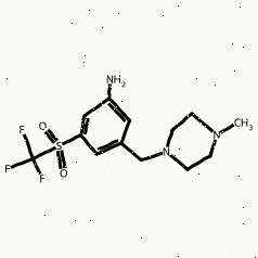 CN1CCN(Cc2cc(N)cc(S(=O)(=O)C(F)(F)F)c2)CC1